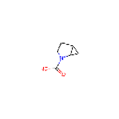 O=C(O)N1CCC2CC21